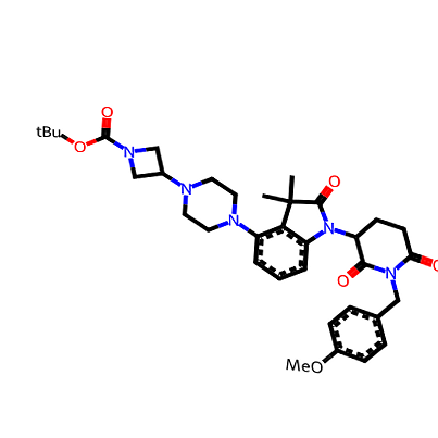 COc1ccc(CN2C(=O)CCC(N3C(=O)C(C)(C)c4c(N5CCN(C6CN(C(=O)OC(C)(C)C)C6)CC5)cccc43)C2=O)cc1